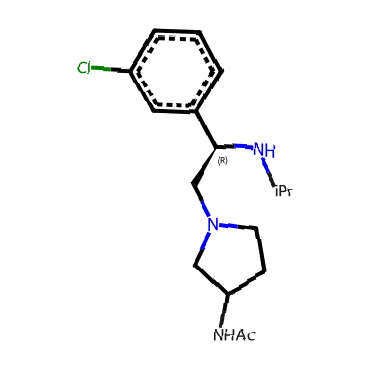 CC(=O)NC1CCN(C[C@H](NC(C)C)c2cccc(Cl)c2)C1